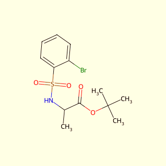 CC(NS(=O)(=O)c1ccccc1Br)C(=O)OC(C)(C)C